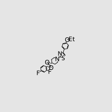 CCOc1ccc(-c2csc(N3CCC(S(=O)(=O)c4ccc(F)cc4F)CC3)n2)cc1